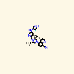 CC1CN(c2ccc(C#N)c3ncccc23)CC(C)N1Cc1ccc(NC2CNCC2F)cn1